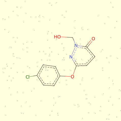 O=c1ccc(Oc2ccc(Cl)cc2)nn1CO